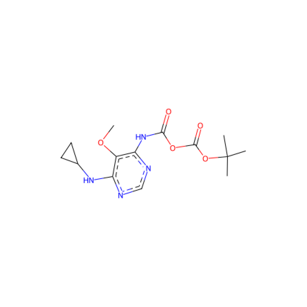 COc1c(NC(=O)OC(=O)OC(C)(C)C)ncnc1NC1CC1